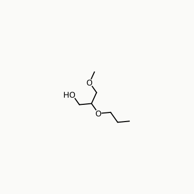 CCCOC(CO)COC